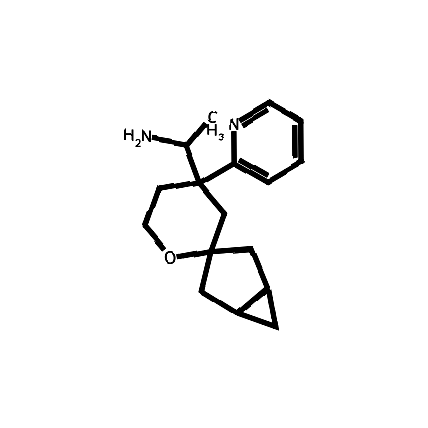 CC(N)C1(c2ccccn2)CCOC2(CC3CC3C2)C1